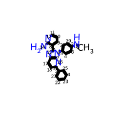 CNc1ccc(-n2c(-c3cccnc3N)nc3ccc(-c4ccccc4)nc32)cc1